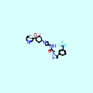 C=C(NCC(=O)NC1CN([C@H]2CC[C@@](O)(c3cccnc3)CC2)C1)c1cccc(C(F)(F)F)c1